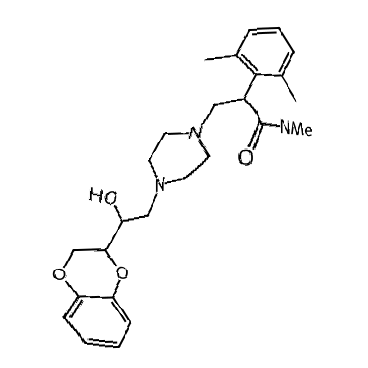 CNC(=O)C(CN1CCN(CC(O)C2COc3ccccc3O2)CC1)c1c(C)cccc1C